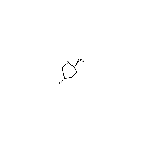 C[C@H]1CC[C@H](F)CO1